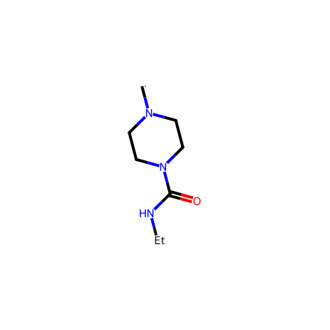 [CH2]N1CCN(C(=O)NCC)CC1